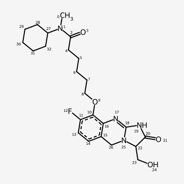 CN(C(=O)CCCCCOc1c(F)ccc2c1N=C1NC(=O)C(CO)N1C2)C1CCCCC1